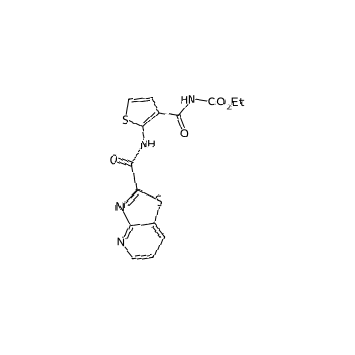 CCOC(=O)NC(=O)c1ccsc1NC(=O)c1nc2ncccc2s1